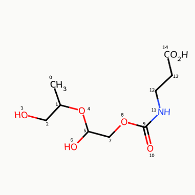 CC(CO)OC(O)COC(=O)NCCC(=O)O